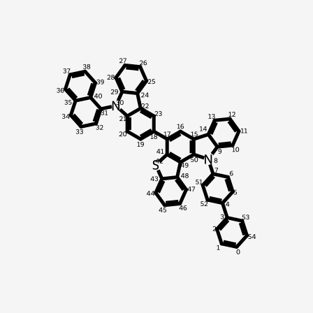 c1ccc(-c2ccc(-n3c4ccccc4c4cc(-c5ccc6c(c5)c5ccccc5n6-c5cccc6ccccc56)c5sc6ccccc6c5c43)cc2)cc1